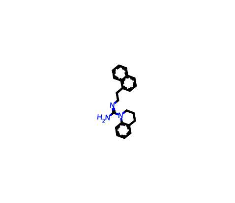 NC(=NCCc1cccc2ccccc12)N1CCCc2ccccc21